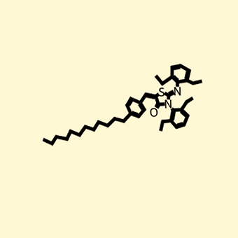 CCCCCCCCCCCCc1ccc(C=C2SC(=Nc3c(CC)cccc3CC)N(c3c(CC)cccc3CC)C2=O)cc1